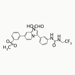 CS(=O)(=O)c1cccc(-c2ccn3c(-c4cccc(NC(=O)NCC(F)(F)F)c4)cnc3c2)c1.O=CO